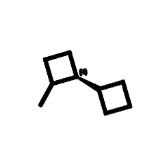 CC1CC[C@H]1C1CCC1